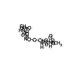 COC(=O)NC(C(=O)N1CCC[C@H]1c1nc2ccc(-c3ccc(-c4ccc5nc([C@@H]6CCCN6C(=O)C(NC(=O)OC)C6CCOCC6)[nH]c5c4)cc3)cc2[nH]1)C1CCOCC1